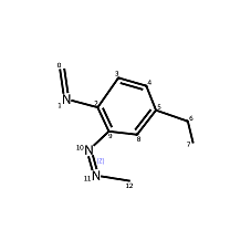 C=Nc1ccc(CC)cc1/N=N\C